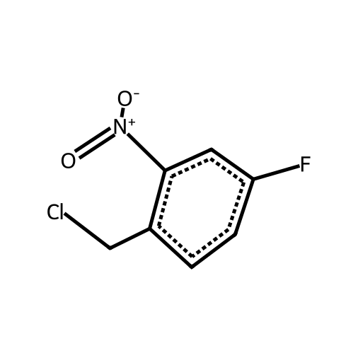 O=[N+]([O-])c1cc(F)ccc1CCl